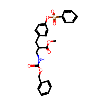 COC(=O)C(CNC(=O)OCc1ccccc1)Cc1ccc(OS(=O)(=O)c2ccccc2)cc1